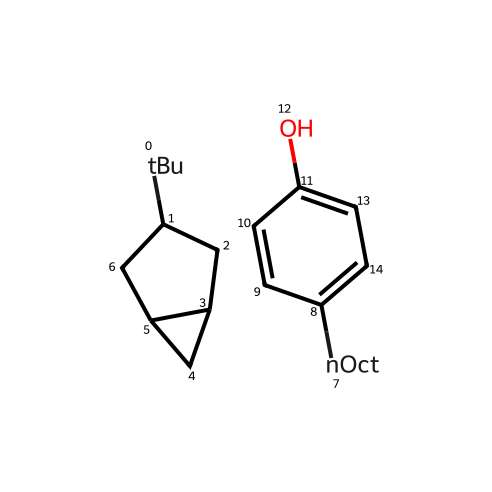 CC(C)(C)C1CC2CC2C1.CCCCCCCCc1ccc(O)cc1